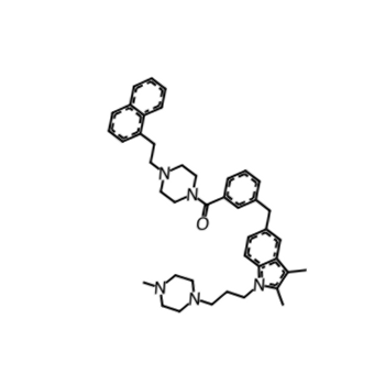 Cc1c(C)n(CCCN2CCN(C)CC2)c2ccc(Cc3cccc(C(=O)N4CCN(CCc5cccc6ccccc56)CC4)c3)cc12